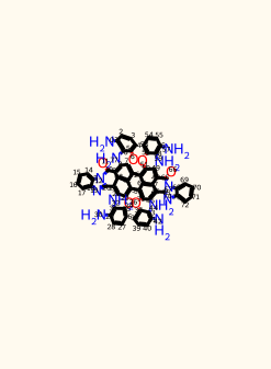 Nc1cccc(Oc2cc3c(=O)n4c5ccccc5nc4c4cc(Oc5cccc(N)c5N)c5c6c(Oc7cccc(N)c7N)cc7c8c(cc(Oc9cccc(N)c9N)c(c2c5c34)c68)c(=O)n2c3ccccc3nc72)c1N